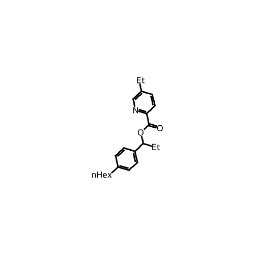 CCCCCCc1ccc(C(CC)OC(=O)c2ccc(CC)cn2)cc1